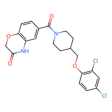 O=C1COc2ccc(C(=O)N3CCC(COc4ccc(Cl)cc4Cl)CC3)cc2N1